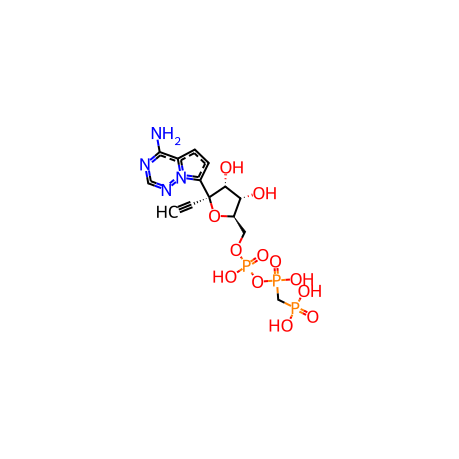 C#C[C@@]1(c2ccc3c(N)ncnn23)O[C@H](COP(=O)(O)OP(=O)(O)CP(=O)(O)O)[C@@H](O)[C@H]1O